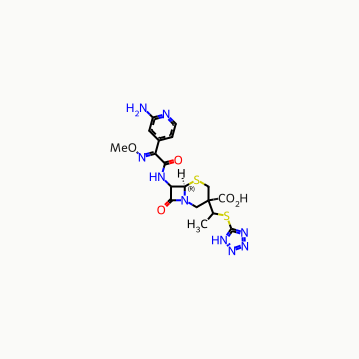 CON=C(C(=O)NC1C(=O)N2CC(C(=O)O)(C(C)Sc3nnn[nH]3)CS[C@H]12)c1ccnc(N)c1